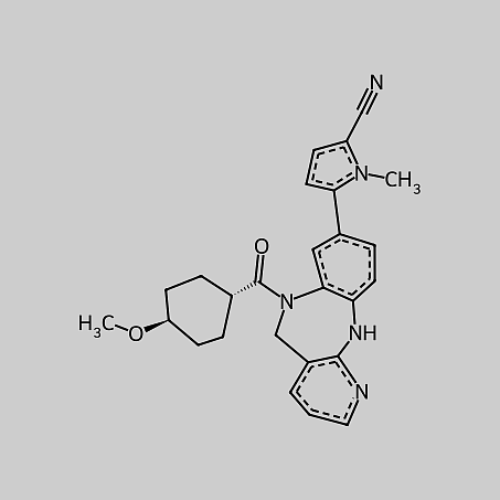 CO[C@H]1CC[C@H](C(=O)N2Cc3cccnc3Nc3ccc(-c4ccc(C#N)n4C)cc32)CC1